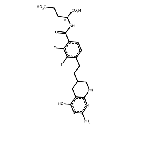 Nc1nc(O)c2c(n1)NCC(CCc1ccc(C(=O)N[C@@H](CCC(=O)O)C(=O)O)c(F)c1F)C2